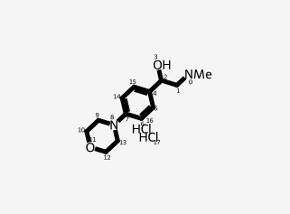 CNCC(O)c1ccc(N2CCOCC2)cc1.Cl.Cl